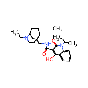 CCN1CCC2(CNC(=O)c3c(O)c4ccccc4n(C(C)C)c3=O)CCCC1C2.[CH2]